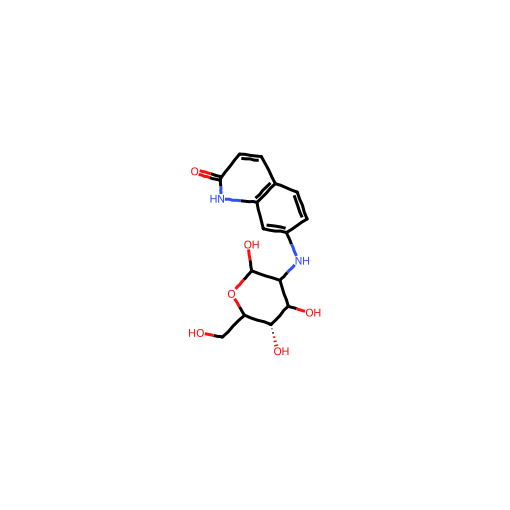 O=c1ccc2ccc(NC3C(O)OC(CO)[C@@H](O)C3O)cc2[nH]1